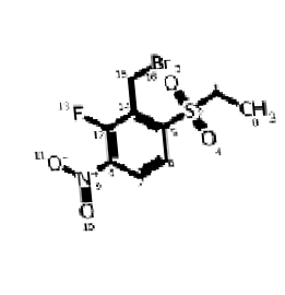 CCS(=O)(=O)c1ccc([N+](=O)[O-])c(F)c1CBr